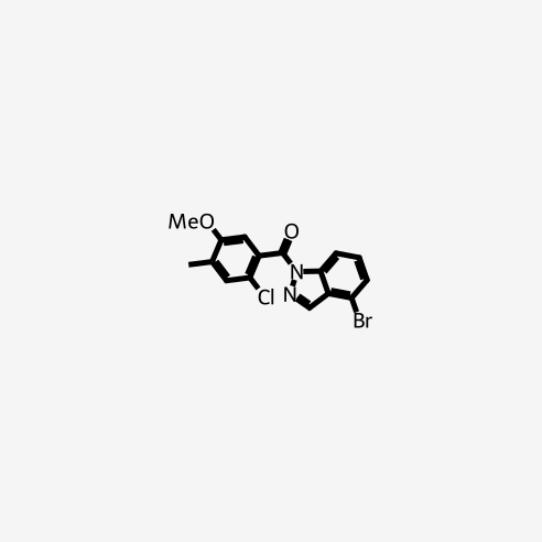 COc1cc(C(=O)n2ncc3c(Br)cccc32)c(Cl)cc1C